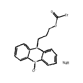 CCC(=O)OCCCN1c2ccccc2[S+]([O-])c2ccccc21.[NaH]